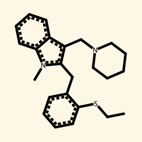 CCSc1ccccc1Cc1c(CN2CCCCC2)c2ccccc2n1C